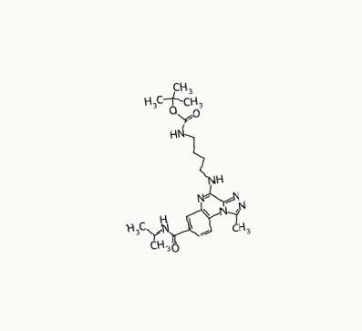 Cc1nnc2c(NCCCCNC(=O)OC(C)(C)C)nc3cc(C(=O)NC(C)C)ccc3n12